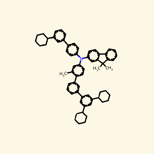 Cc1cc(N(c2ccc(-c3cccc(C4CCCCC4)c3)cc2)c2ccc3c(c2)C(C)(C)c2ccccc2-3)ccc1-c1cccc(-c2cc(C3CCCCC3)cc(C3CCCCC3)c2)c1